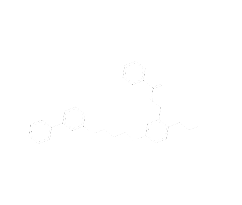 O=C(O)CCc1ccc(OCCCOc2cccc(-c3ccccc3)c2)cc1CNC(=O)c1ccccc1